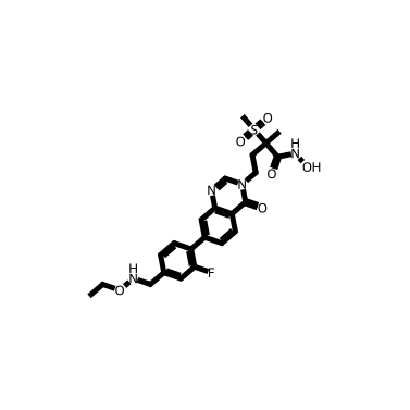 CCONCc1ccc(-c2ccc3c(=O)n(CCC(C)(C(=O)NO)S(C)(=O)=O)cnc3c2)c(F)c1